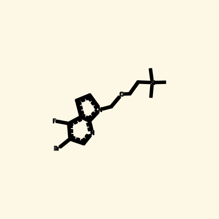 C[Si](C)(C)CCOCn1ccc2c(F)c(Br)cnc21